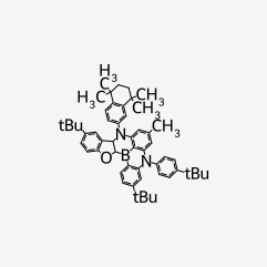 Cc1cc2c3c(c1)N(c1ccc4c(c1)C(C)(C)CCC4(C)C)C1c4cc(C(C)(C)C)ccc4OC1B3c1ccc(C(C)(C)C)cc1N2c1ccc(C(C)(C)C)cc1